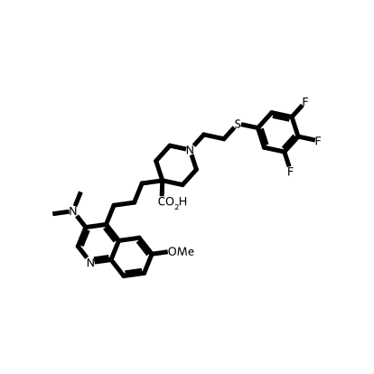 COc1ccc2ncc(N(C)C)c(CCCC3(C(=O)O)CCN(CCSc4cc(F)c(F)c(F)c4)CC3)c2c1